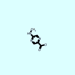 CNc1cnc(C(=O)Cl)cn1